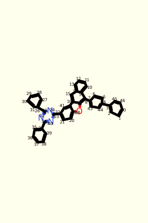 c1ccc(-c2ccc(-c3c4ccccc4cc4c3oc3ccc(-c5nc(-c6ccccc6)nc(-c6ccccc6)n5)cc34)cc2)cc1